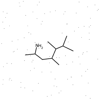 CC(N)CC(C)C(C)C(C)C